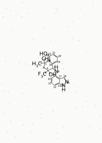 CC1(C)CC(O)(C(F)(F)F)C(Nc2cccc3[nH]ncc23)c2cccc(O)c21